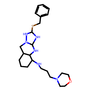 c1ccc(CSC2NC3NC4C(CCCC4NCCCN4CCOCC4)CN3N2)cc1